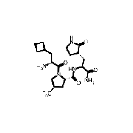 NC(=O)[C@H](C[C@@H]1CCNC1=O)NC(=O)[C@@H]1C[C@@H](C(F)(F)F)CN1C(=O)[C@@H](N)CC1CCC1